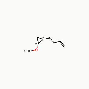 C=CCC[C@@H]1C[C@H]1OC=O